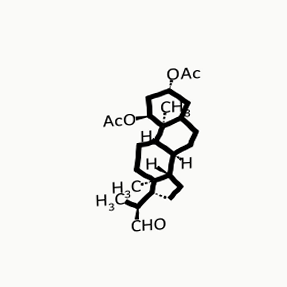 CC(=O)O[C@@H]1CC2CC[C@H]3[C@@H]4CC[C@H]([C@H](C)C=O)[C@@]4(C)CC[C@@H]3[C@@]2(C)[C@@H](OC(C)=O)C1